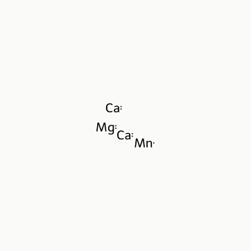 [Ca].[Ca].[Mg].[Mn]